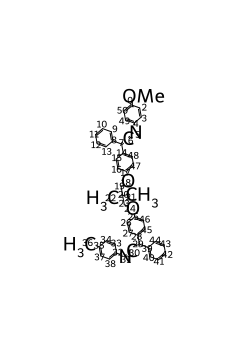 COc1ccc(N=C=C(c2ccccc2)c2ccc(OCC(C)(C)COc3ccc(C(=C=Nc4ccc(C)cc4)c4ccccc4)cc3)cc2)cc1